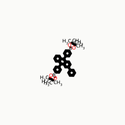 CC1(C)OB(c2ccc(-c3c4ccccc4c(-c4ccc(B5OC(C)(C)C(C)(C)O5)cc4)c4cc(-c5ccccc5)ccc34)cc2)OC1(C)C